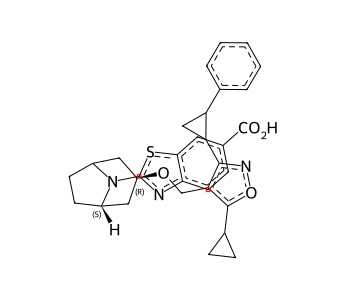 O=C(O)c1ccc2nc(N3C4CC[C@H]3C[C@H](OCc3c(C5CC5c5ccccc5)noc3C3CC3)C4)sc2c1